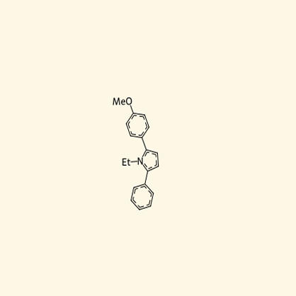 CCn1c(-c2ccccc2)ccc1-c1ccc(OC)cc1